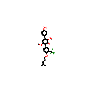 COc1cc(-c2ccc(O)cc2)c(OC)c(O)c1-c1ccc(OCCC=C(C)C)c(C(F)(F)F)c1